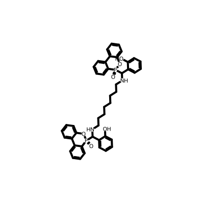 O=P1(C(NCCCCCCCCNC(c2ccccc2O)P2(=O)Oc3ccccc3-c3ccccc32)c2ccccc2O)Oc2ccccc2-c2ccccc21